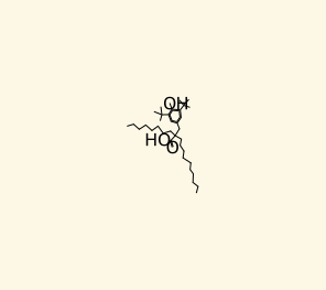 CCCCCCCCCCC(CCCCCCCC)(Cc1cc(C(C)(C)C)c(O)c(C(C)(C)C)c1)C(=O)O